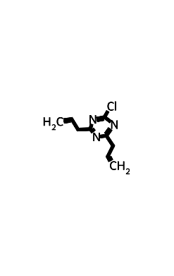 C=CCc1nc(Cl)nc(CC=C)n1